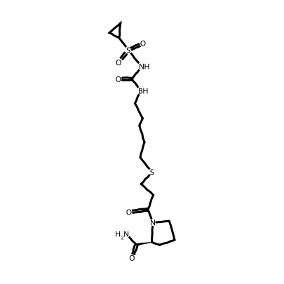 NC(=O)[C@@H]1CCCN1C(=O)CCSCCCCCBC(=O)NS(=O)(=O)C1CC1